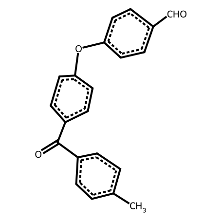 Cc1ccc(C(=O)c2ccc(Oc3ccc(C=O)cc3)cc2)cc1